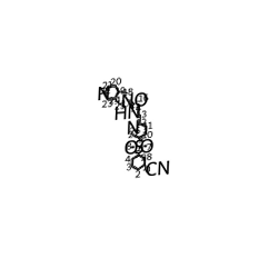 N#Cc1cccc(S(=O)(=O)c2ccc(CNC(=O)N3Cc4ccncc4C3)nc2)c1